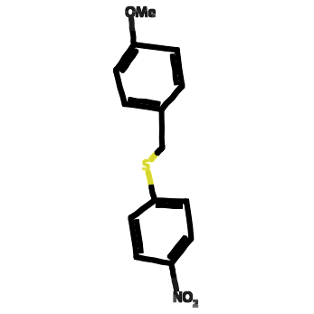 COc1ccc(CSc2ccc([N+](=O)[O-])cc2)cc1